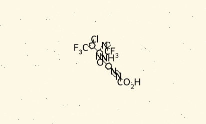 O=C(O)CN1CCN(c2ccc(C(=O)Nc3cc(CN4CCCC4C(F)(F)F)c(-c4cc(Cl)cc(C(F)(F)F)c4)cn3)cc2)CC1